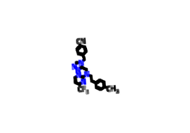 Cc1ccc(CCN(Cc2nncn2Cc2ccc(C#N)cc2)c2nccc(C(F)(F)F)n2)cc1